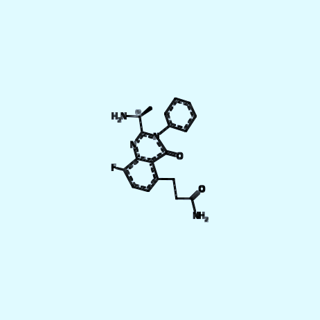 C[C@H](N)c1nc2c(F)ccc(CCC(N)=O)c2c(=O)n1-c1ccccc1